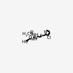 C#CCN/C(=N/CCSCc1ncccc1Cl)NS(C)(=O)=O